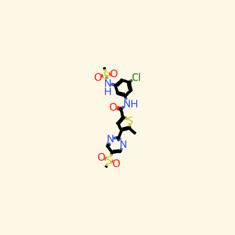 Cc1sc(C(=O)Nc2cc(Cl)cc(NS(C)(=O)=O)c2)cc1-c1ncc(S(C)(=O)=O)cn1